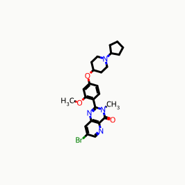 COc1cc(OC2CCN(C3CCCC3)CC2)ccc1-c1nc2cc(Br)cnc2c(=O)n1C